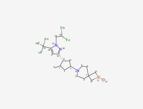 CC1CC(N2CCC3(CC2)C[S+]([O-])C3)C[C@H]1c1cc(C(F)(F)F)n(CC(F)F)n1